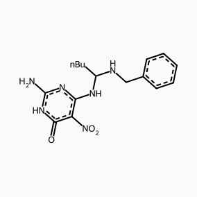 CCCCC(NCc1ccccc1)Nc1nc(N)[nH]c(=O)c1[N+](=O)[O-]